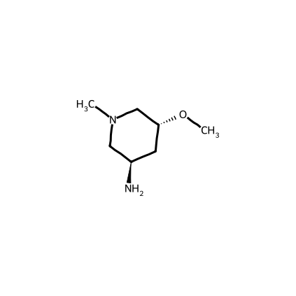 CO[C@@H]1C[C@@H](N)CN(C)C1